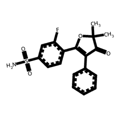 CC1(C)OC(c2ccc(S(N)(=O)=O)cc2F)=C(c2ccccc2)C1=O